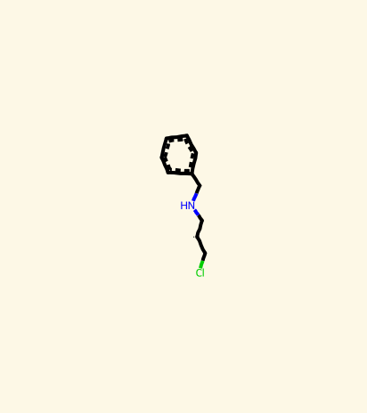 ClC[CH]CNCc1ccccc1